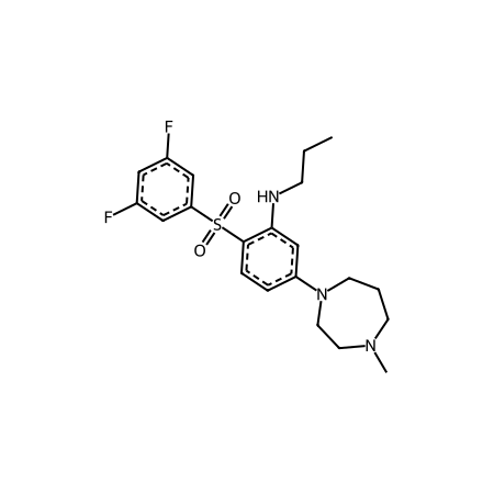 CCCNc1cc(N2CCCN(C)CC2)ccc1S(=O)(=O)c1cc(F)cc(F)c1